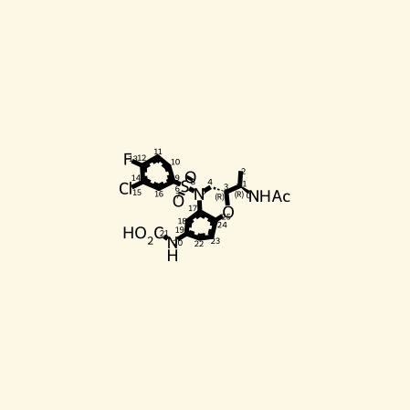 CC(=O)N[C@H](C)[C@H]1CN(S(=O)(=O)c2ccc(F)c(Cl)c2)c2cc(NC(=O)O)ccc2O1